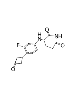 O=C1CC(c2ccc(NC3CCC(=O)NC3=O)cc2F)C1